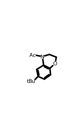 CC(=O)N1CCOc2ccc(C(C)(C)C)cc21